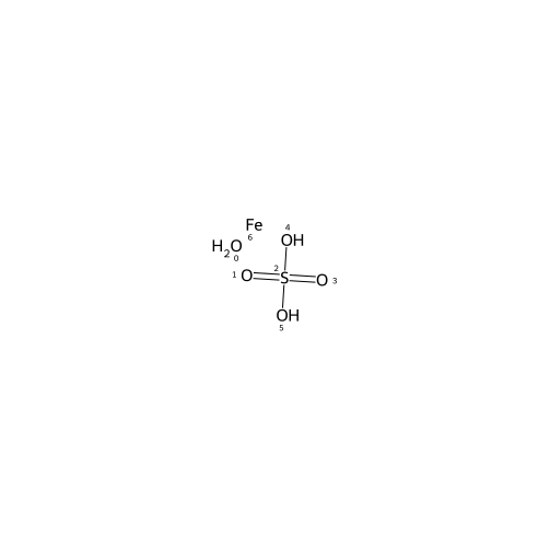 O.O=S(=O)(O)O.[Fe]